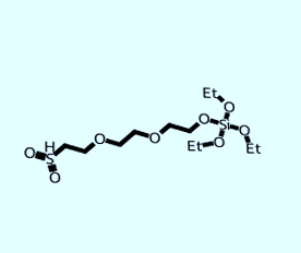 CCO[Si](OCC)(OCC)OCCOCCOCC[SH](=O)=O